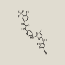 Cc1cc(Nc2cc(C#N)n[nH]2)nc(Nc2ccc(NC(=S)Nc3ccc(Cl)c(C(F)(F)F)c3)nc2)n1